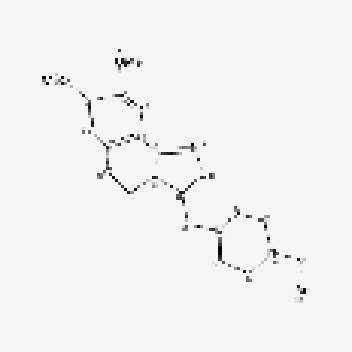 COc1cc2c(cc1OC)C1=NOC(CN3CCN(CC(C)=O)CC3)C1CO2